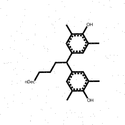 CCCCCCCCCCCCCC(c1cc(C)c(O)c(C)c1)c1cc(C)c(O)c(C)c1